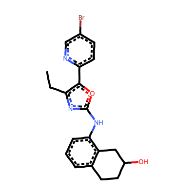 CCc1nc(Nc2cccc3c2CC(O)CC3)oc1-c1ccc(Br)cn1